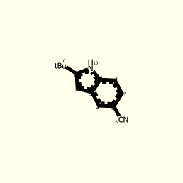 CC(C)(C)c1cc2cc(C#N)ccc2[nH]1